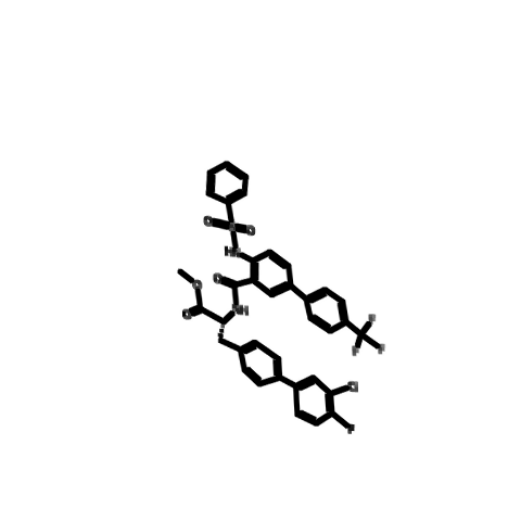 COC(=O)[C@@H](Cc1ccc(-c2ccc(F)c(Cl)c2)cc1)NC(=O)c1cc(-c2ccc(C(F)(F)F)cc2)ccc1NS(=O)(=O)c1ccccc1